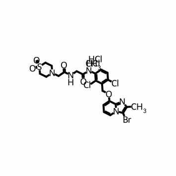 Cc1nc2c(OCc3c(Cl)ccc(N(C)C(=O)CNC(=O)CN4CCS(=O)(=O)CC4)c3Cl)cccn2c1Br.Cl.Cl